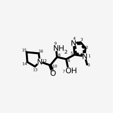 Cn1ccnc1C(O)C(N)C(=O)N1CCCC1